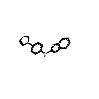 C1=CN(c2ccc(Nc3nc4ccccc4o3)cc2)CN1